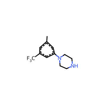 Cc1cc(N2CCNCC2)cc(C(F)(F)F)c1